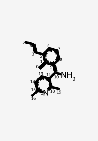 C=c1c(C=CC)ccc/c1=C(\N)c1ccc(C)nc1C